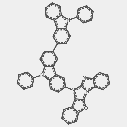 c1ccc(-n2c3ccccc3c3cc(-c4ccc5c(c4)c4cc(-n6c7c8ccccc8oc7n7c8ccccc8nc67)ccc4n5-c4ccccc4)ccc32)cc1